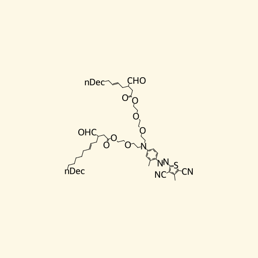 CCCCCCCCCCC/C=C/CC(C=O)CC(=O)OCCOCCOCCN(CCOCCOC(=O)CC(C=O)C/C=C/CCCCCCCCCCCCCCC)c1ccc(/N=N/c2sc(C#N)c(C)c2C#N)c(C)c1